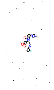 CCN1CCN(c2cccc3c2CN([C@H](CCCN(C)Cc2cccc(F)c2)c2ccc(OC)c(OC)c2)C3C=O)CC1